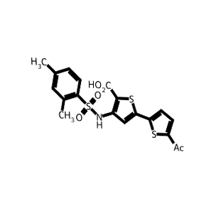 CC(=O)c1ccc(-c2cc(NS(=O)(=O)c3ccc(C)cc3C)c(C(=O)O)s2)s1